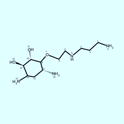 NCCCNCCOC1[C@H](N)CC(N)[C@@H](O)[C@@H]1O